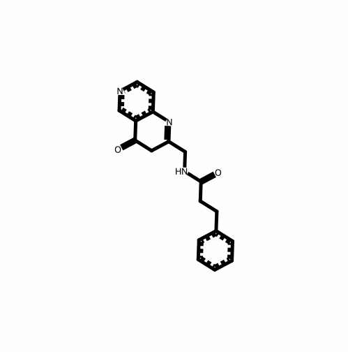 O=C(CCc1ccccc1)NCC1=Nc2ccncc2C(=O)C1